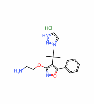 CC(C)(C)c1c(OCCN)noc1-c1ccccc1.Cl.c1c[nH]nn1